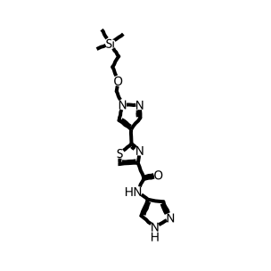 C[Si](C)(C)CCOCn1cc(-c2nc(C(=O)Nc3cn[nH]c3)cs2)cn1